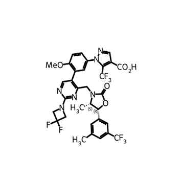 COc1ccc(-n2ncc(C(=O)O)c2C(F)(F)F)cc1-c1cnc(N2CC(F)(F)C2)nc1CN1C(=O)O[C@H](c2cc(C)cc(C(F)(F)F)c2)[C@@H]1C